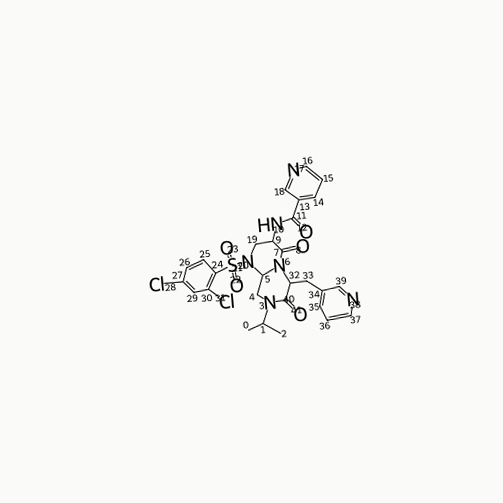 CC(C)N1CC2N(C(=O)C(NC(=O)c3cccnc3)CN2S(=O)(=O)c2ccc(Cl)cc2Cl)C(Cc2cccnc2)C1=O